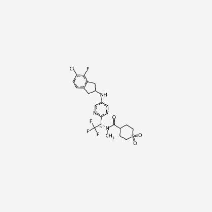 CN(C(=O)C1CCS(=O)(=O)CC1)[C@@H](c1ccc(NC2Cc3ccc(Cl)c(F)c3C2)cn1)C(F)(F)F